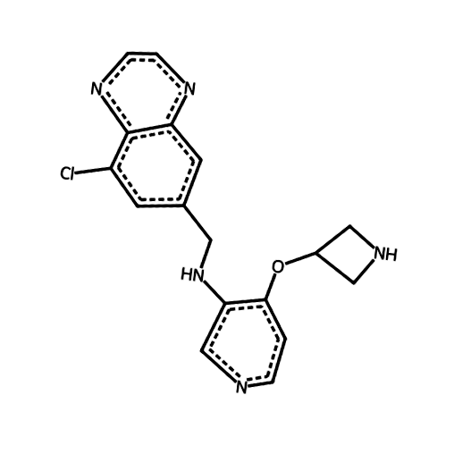 Clc1cc(CNc2cnccc2OC2CNC2)cc2nccnc12